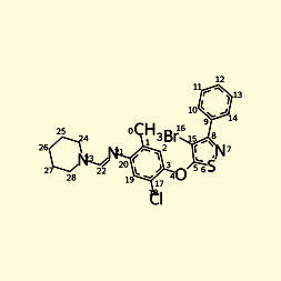 Cc1cc(Oc2snc(-c3ccccc3)c2Br)c(Cl)cc1N=CN1CCCCC1